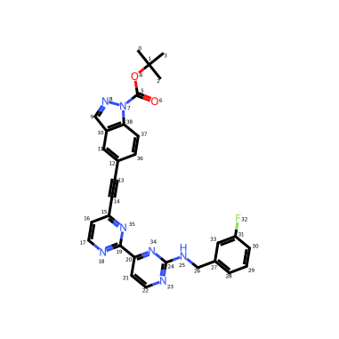 CC(C)(C)OC(=O)n1ncc2cc(C#Cc3ccnc(-c4ccnc(NCc5cccc(F)c5)n4)n3)ccc21